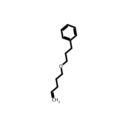 C=CCCCOCCCc1ccccc1